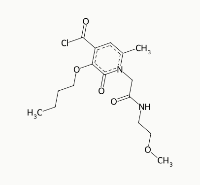 CCCCOc1c(C(=O)Cl)cc(C)n(CC(=O)NCCOC)c1=O